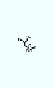 N#CC(CO)Cc1noc(=O)o1